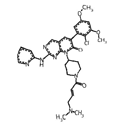 COc1cc(OC)c(Cl)c(-c2cc3cnc(Nc4ccccn4)nc3n(C3CCN(C(=O)/C=C/CN(C)C)CC3)c2=O)c1